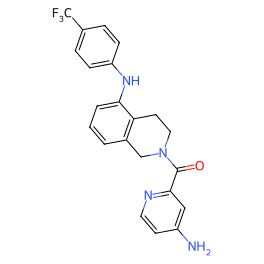 Nc1ccnc(C(=O)N2CCc3c(cccc3Nc3ccc(C(F)(F)F)cc3)C2)c1